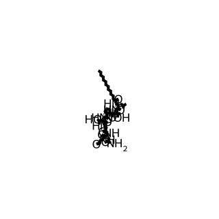 CCCCCCCCCCCCCC(=O)N[C@@H](CC(C)C)C(=O)NC(C(=O)N1CCC[C@@H]1C(=O)NC(C(=O)NCC(=O)N[C@@H](CC(N)=O)C(=O)NCC=O)C(C)O)C(C)O